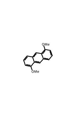 COc1cccc2cc3c(OC)cccc3cc12